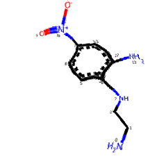 NCCNc1ccc([N+](=O)[O-])cc1N